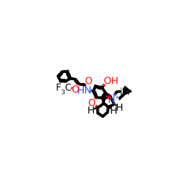 CC(C)C[N+]1(CC2CC2)CC[C@]23c4c5c(O)cc(NC(=O)C(=Cc6ccccc6)OC(F)(F)F)c4O[C@H]2CCC[C@H]3[C@H]1C5